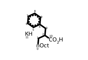 CCCCCCCCCC(Cc1ccccc1)C(=O)O.[KH]